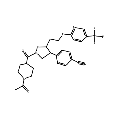 CC(=O)N1CCC(C(=O)N2CC(CCOc3ccc(C(F)(F)F)cn3)C(c3ccc(C#N)cc3)C2)CC1